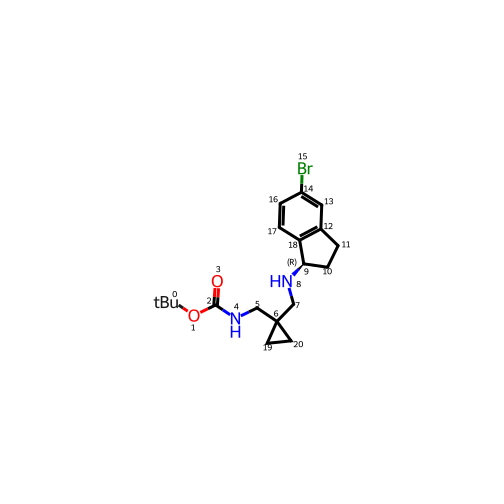 CC(C)(C)OC(=O)NCC1(CN[C@@H]2CCc3cc(Br)ccc32)CC1